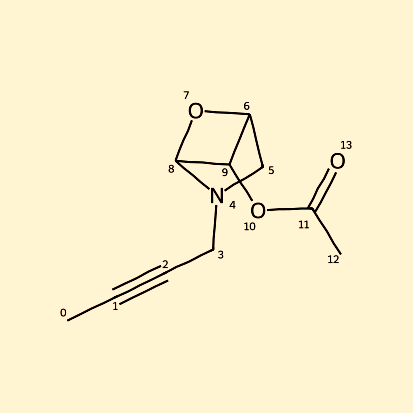 CC#CCN1CC2OC1C2OC(C)=O